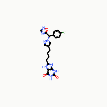 O=c1[nH]c(=O)c2[nH]c(CCCCc3cnn(C(c4ccc(Cl)cc4)c4ncno4)c3)nc2[nH]1